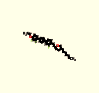 CCCCCCCC1CCC(CCc2ccc(-c3ccc(-c4ccc(OCC)c(F)c4F)cc3)cc2F)OC1